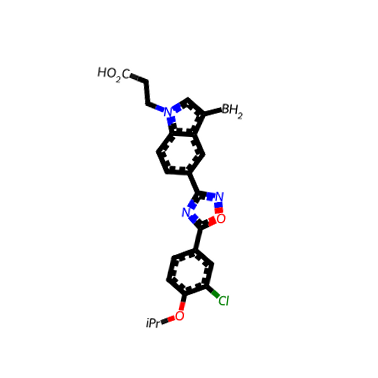 Bc1cn(CCC(=O)O)c2ccc(-c3noc(-c4ccc(OC(C)C)c(Cl)c4)n3)cc12